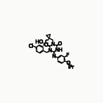 CC(C)Oc1ccc(/N=c2\[nH]c(=O)n(CC3(C(=O)O)CC3)c(=O)n2Cc2ccc(Cl)cc2)cc1F